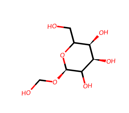 OCO[C@H]1OC(CO)[C@@H](O)[C@@H](O)C1O